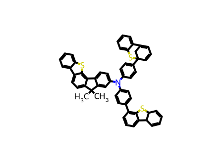 CC1(C)c2cc(N(c3ccc(-c4cccc5c4SC4C=CC=CC54)cc3)c3ccc(C45C=CC=C(C4)c4ccccc4S5)cc3)ccc2-c2c1ccc1c2sc2ccccc21